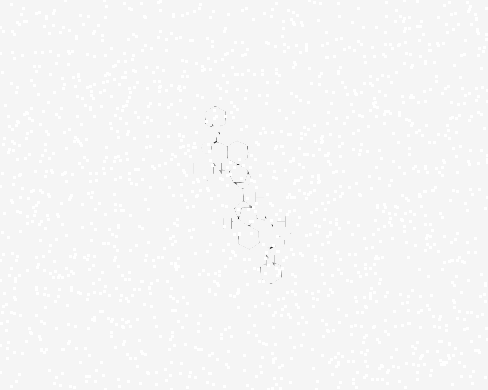 N[C@@H]1C2CC(CC2C2C[C@@H]3C[C@H]2[C@@H](N)[C@]32CCC[C@@H](C(=O)N3CCCCC3)C2)[C@]12CCCC(C(=O)N1CCCCC1)C2